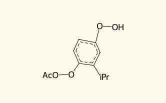 CC(=O)OOc1ccc(OO)cc1C(C)C